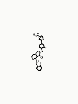 Cn1cc(-c2ccc(CN3Cc4ccnc(OCc5ccccc5F)c4C3=O)c(F)c2)nn1